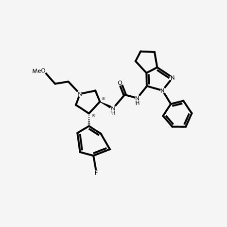 COCCN1C[C@@H](NC(=O)Nc2c3c(nn2-c2ccccc2)CCC3)[C@H](c2ccc(F)cc2)C1